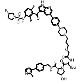 Cc1ncsc1-c1ccc(CNC(=O)[C@@H]2C[C@@H](O)CN2C(=O)C(NC(=O)COCCCN2CCN(c3ccc(-c4cnc5[nH]cc(C(=O)c6c(F)ccc(NS(=O)(=O)N7CC[C@@H](F)C7)c6F)c5c4)cc3)CC2)C(C)(C)C)cc1